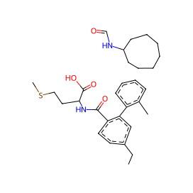 CCc1ccc(C(=O)NC(CCSC)C(=O)O)c(-c2ccccc2C)c1.O=CNC1CCCCCCC1